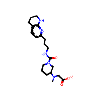 CN(CC(=O)O)C1CCCN(C(=O)NCCCc2ccc3c(n2)NCCC3)C1